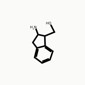 NC1Cc2ccccc2C1CO